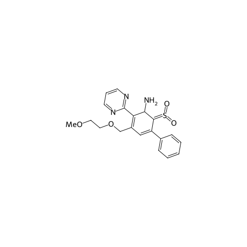 COCCOCC1=C(c2ncccn2)C(N)C(=S(=O)=O)C(c2ccccc2)=C1